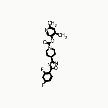 Cc1cc(C)c(OC(=O)N2CCC(c3noc(C4=C(F)CC(F)C=C4)n3)CC2)cn1